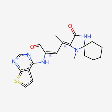 CC(/C=C(\C=O)Nc1ncnc2sccc12)=C1\C(=O)NC2(CCCCC2)N1C